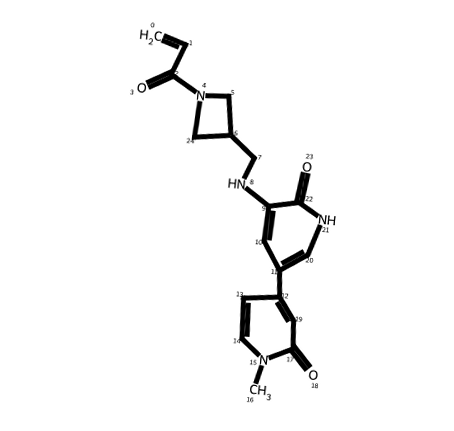 C=CC(=O)N1CC(CNc2cc(-c3ccn(C)c(=O)c3)c[nH]c2=O)C1